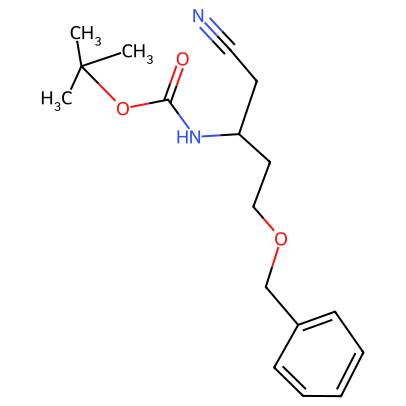 CC(C)(C)OC(=O)NC(CC#N)CCOCc1ccccc1